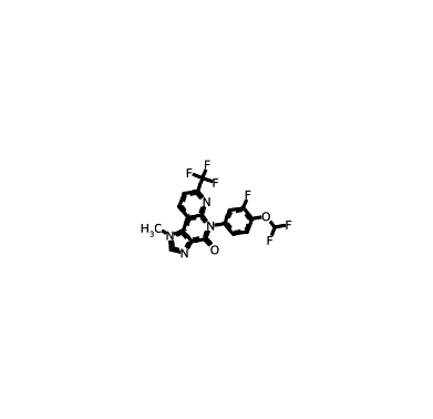 Cn1cnc2c(=O)n(-c3ccc(OC(F)F)c(F)c3)c3nc(C(F)(F)F)ccc3c21